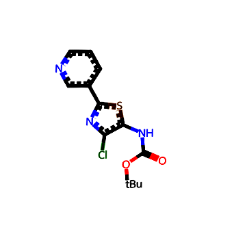 CC(C)(C)OC(=O)Nc1sc(-c2cccnc2)nc1Cl